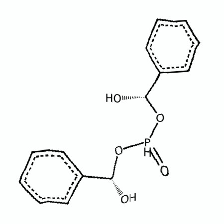 O=[PH](O[C@H](O)c1ccccc1)O[C@H](O)c1ccccc1